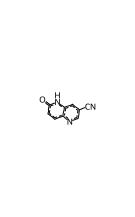 N#Cc1cnc2ccc(=O)[nH]c2c1